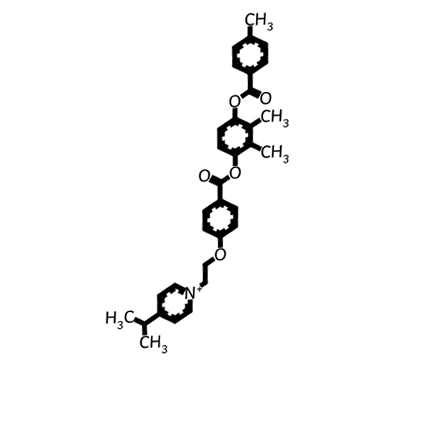 Cc1ccc(C(=O)Oc2ccc(OC(=O)c3ccc(OCC[n+]4ccc(C(C)C)cc4)cc3)c(C)c2C)cc1